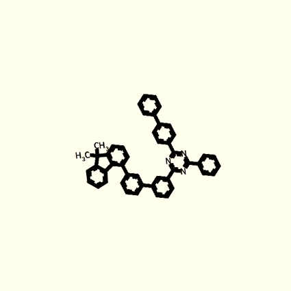 CC1(C)c2ccccc2-c2c(-c3cccc(-c4cccc(-c5nc(-c6ccccc6)nc(-c6ccc(-c7ccccc7)cc6)n5)c4)c3)cccc21